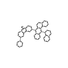 c1ccc(-c2ccc3sc4ccc(-c5c6ccccc6c(-c6cccc7ccccc67)c6c5ccc5ccccc56)cc4c3c2)cc1